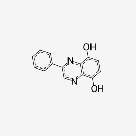 Oc1ccc(O)c2nc(-c3ccccc3)cnc12